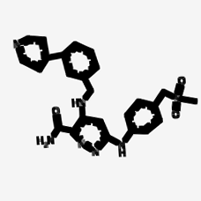 CS(=O)(=O)Cc1ccc(Nc2cc(NCc3cccc(-c4ccncc4)c3)c(C(N)=O)nn2)cc1